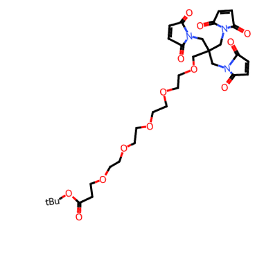 CC(C)(C)OC(=O)CCOCCOCCOCCOCCOCC(CN1C(=O)C=CC1=O)(CN1C(=O)C=CC1=O)CN1C(=O)C=CC1=O